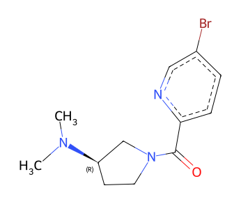 CN(C)[C@@H]1CCN(C(=O)c2ccc(Br)cn2)C1